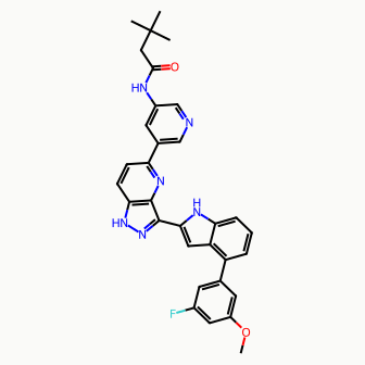 COc1cc(F)cc(-c2cccc3[nH]c(-c4n[nH]c5ccc(-c6cncc(NC(=O)CC(C)(C)C)c6)nc45)cc23)c1